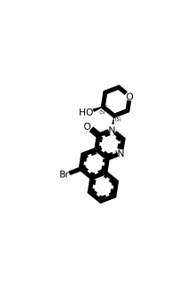 O=c1c2cc(Br)c3ccccc3c2ncn1[C@H]1COCC[C@@H]1O